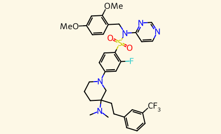 COc1ccc(CN(c2ccncn2)S(=O)(=O)c2ccc(N3CCCC(CCc4cccc(C(F)(F)F)c4)(N(C)C)C3)cc2F)c(OC)c1